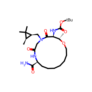 C[C@@H]1OCCCCCCC[C@@H](C(N)=O)NC(=O)CN(C[C@H]2[C@@H](C)C2(C)C)C(=O)[C@H]1NC(=O)OC(C)(C)C